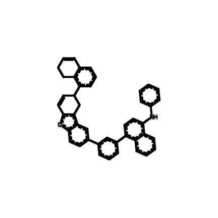 C1=Cc2cccc(C3C=Cc4oc5ccc(-c6cccc(-c7ccc(Nc8ccccc8)c8ccccc78)c6)cc5c4C3)c2CC1